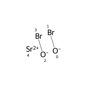 [O-]Br.[O-]Br.[Sr+2]